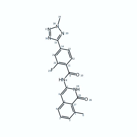 Cc1cccc2cc(NC(=O)c3ccc(-c4nnn(C)n4)cc3F)[nH]c(=O)c12